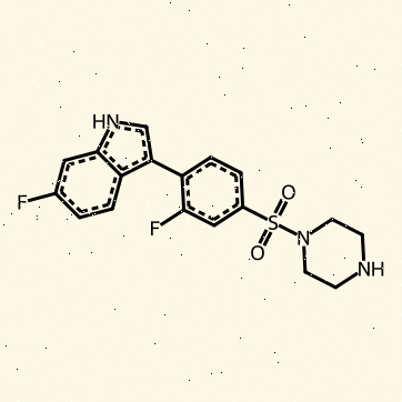 O=S(=O)(c1ccc(-c2c[nH]c3cc(F)ccc23)c(F)c1)N1CCNCC1